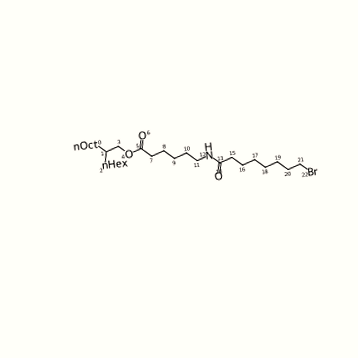 CCCCCCCCC(CCCCCC)COC(=O)CCCCCNC(=O)CCCCCCCBr